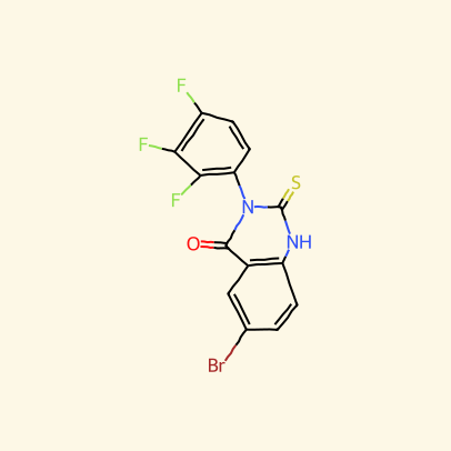 O=c1c2cc(Br)ccc2[nH]c(=S)n1-c1ccc(F)c(F)c1F